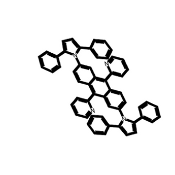 c1ccc(-c2ccc(-c3ccccc3)n2-c2ccc3c(-c4ccccn4)c4cc(-n5c(-c6ccccc6)ccc5-c5ccccc5)ccc4c(-c4ccccn4)c3c2)cc1